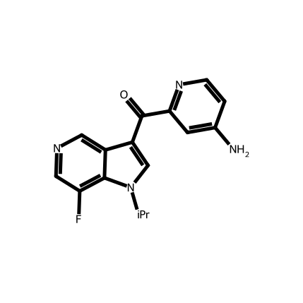 CC(C)n1cc(C(=O)c2cc(N)ccn2)c2cncc(F)c21